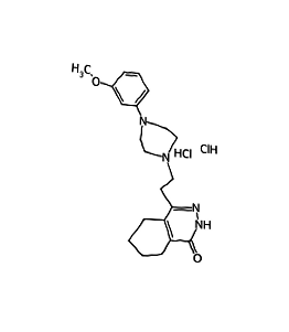 COc1cccc(N2CCN(CCc3n[nH]c(=O)c4c3CCCC4)CC2)c1.Cl.Cl